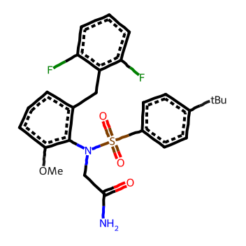 COc1cccc(Cc2c(F)cccc2F)c1N(CC(N)=O)S(=O)(=O)c1ccc(C(C)(C)C)cc1